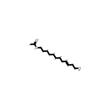 CC(=O)OCCCCCCCC/C=C/CCCl